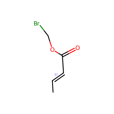 C/C=C/C(=O)OCBr